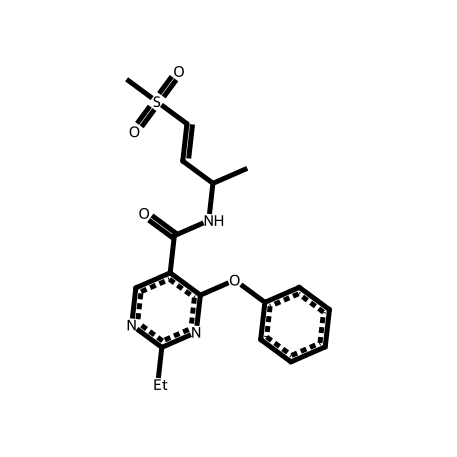 CCc1ncc(C(=O)NC(C)/C=C/S(C)(=O)=O)c(Oc2ccccc2)n1